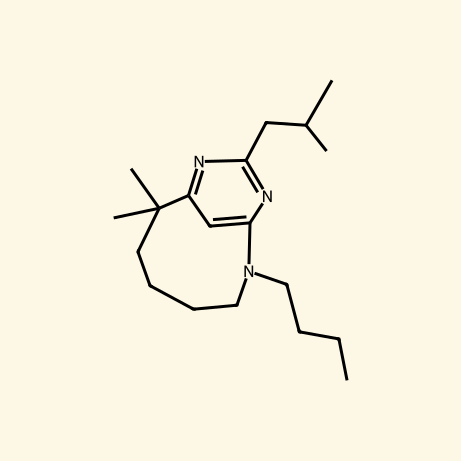 CCCCN1CCCCC(C)(C)c2cc1nc(CC(C)C)n2